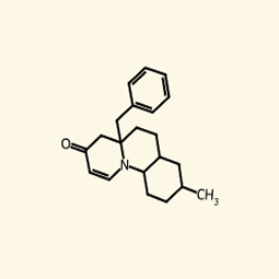 CC1CCC2C(CCC3(Cc4ccccc4)CC(=O)C=CN23)C1